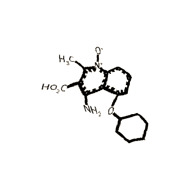 Cc1c(C(=O)O)c(N)c2c(OC3CCCCC3)cccc2[n+]1[O-]